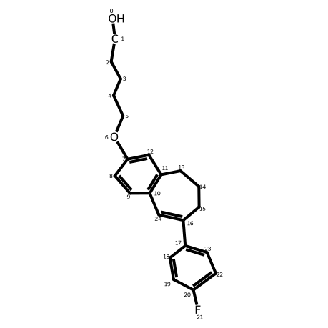 OCCCCCOc1ccc2c(c1)CCCC(c1ccc(F)cc1)=C2